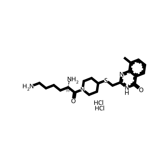 Cc1cccc2c(=O)[nH]c(CSC3CCN(C(=O)[C@@H](N)CCCCN)CC3)nc12.Cl.Cl